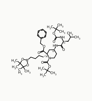 CC(C)C[C@H](NC(=O)OC(C)(C)C)C(=O)N[C@H]1CCN(C(=O)OC(C)(C)C)[C@@](CCCCB2OC(C)(C)C(C)(C)O2)(C(=O)OCc2ccccc2)C1